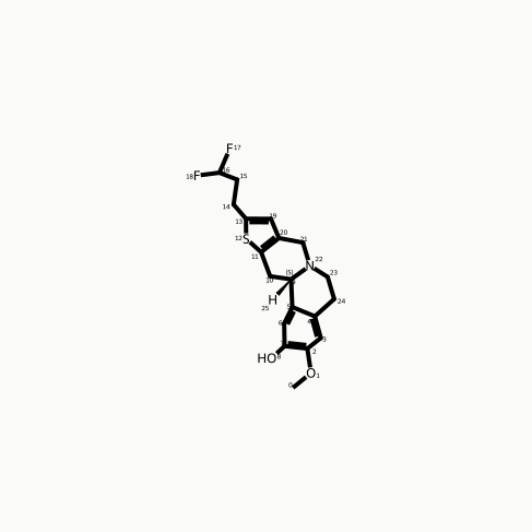 COc1cc2c(cc1O)[C@@H]1Cc3sc(CCC(F)F)cc3CN1CC2